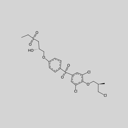 CCS(=O)(=O)C[C@@H](O)COc1ccc(S(=O)(=O)c2cc(Cl)c(OC[C@@H](C)CCl)c(Cl)c2)cc1